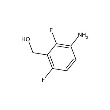 Nc1ccc(F)c(CO)c1F